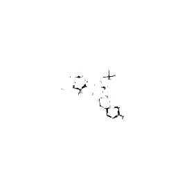 COc1ncnc(OC[C@@H](Cc2ccc(Cl)cn2)NC(=O)OC(C)(C)C)c1Br